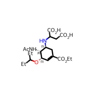 CCOC(=O)C1=C[C@H](OC(CC)CC)[C@H](NC(C)=O)[C@@H](NC(CC(=O)O)C(=O)O)C1